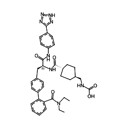 CCN(CC)C(=O)c1ccccc1-c1ccc(C[C@H](NC(=O)[C@H]2CC[C@H](CNC(=O)O)CC2)C(=O)Nc2ccc(-c3nn[nH]n3)cc2)cc1